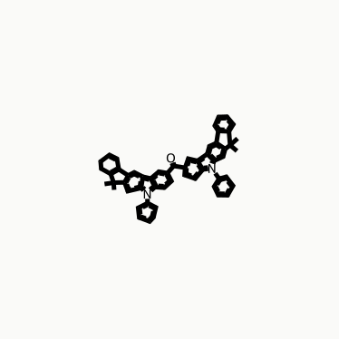 CC1(C)C2=C(C=CCC2)c2cc3c4cc(C(=O)c5ccc6c(c5)c5cc7c(cc5n6-c5ccccc5)C(C)(C)c5ccccc5-7)ccc4n(-c4ccccc4)c3cc21